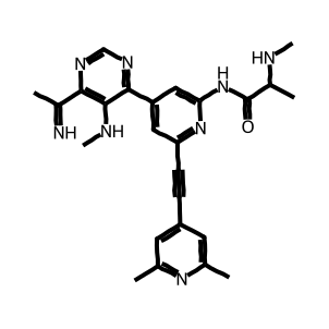 CNc1c(C(C)=N)ncnc1-c1cc(C#Cc2cc(C)nc(C)c2)nc(NC(=O)C(C)NC)c1